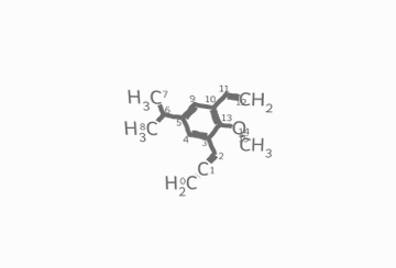 C=C=Cc1cc(C(C)C)cc(C=C)c1OC